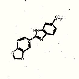 O=C(O)c1ccc2nc(-c3ccc4c(c3)OCO4)[nH]c2c1